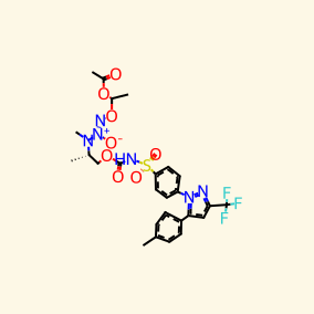 CC(=O)OC(C)O/N=[N+](\[O-])N(C)[C@@H](C)COC(=O)NS(=O)(=O)c1ccc(-n2nc(C(F)(F)F)cc2-c2ccc(C)cc2)cc1